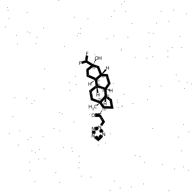 C[C@]12CC[C@H]3[C@@H](CC[C@H]4C[C@](O)(C(F)F)CC[C@@H]43)[C@@H]1CC[C@@H]2C(=O)Cn1ncnn1